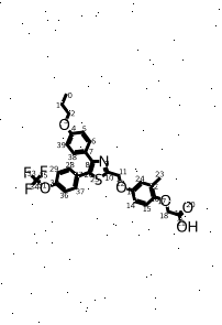 CCCOc1ccc(-c2nc(COc3ccc(OCC(=O)O)c(C)c3)sc2-c2ccc(OC(F)(F)F)cc2)cc1